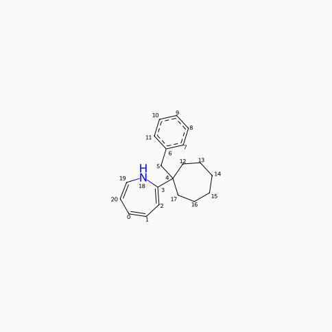 C1=CC=C(C2(Cc3ccccc3)CCCCCC2)NC=C1